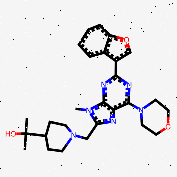 Cn1c(CN2CCC(C(C)(C)O)CC2)nc2c(N3CCOCC3)nc(-c3coc4ccccc34)nc21